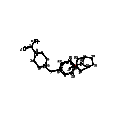 CC(C)C(=O)N1CCN(Cc2cnc(N3C4CCC3CN(C)C4)nc2)CC1